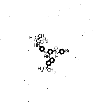 CC(C)c1ccc2c(Nc3cc(C(=O)Nc4ccc(Br)cc4)ccc3Sc3ccc(NC(=O)OC(C)(C)C)cc3)cccc2c1